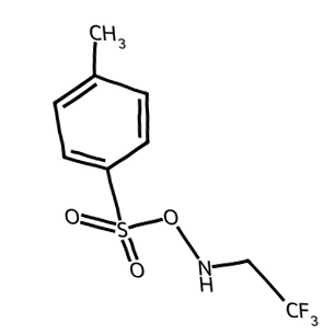 Cc1ccc(S(=O)(=O)ONCC(F)(F)F)cc1